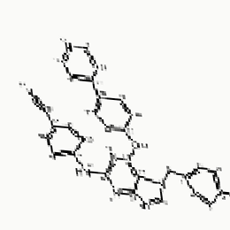 COc1ccc(Cn2cnc3nc(Nc4ccc(C#N)cc4)nc(Oc4ccc(-c5ccncc5)cc4)c32)cc1